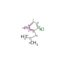 CC(C)Cc1ccccc1Cl.P